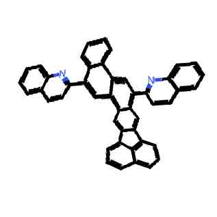 c1ccc2nc(-c3cc4c5cc6c(cc5c(-c5ccc7ccccc7n5)cc4c4ccccc34)-c3cccc4cccc-6c34)ccc2c1